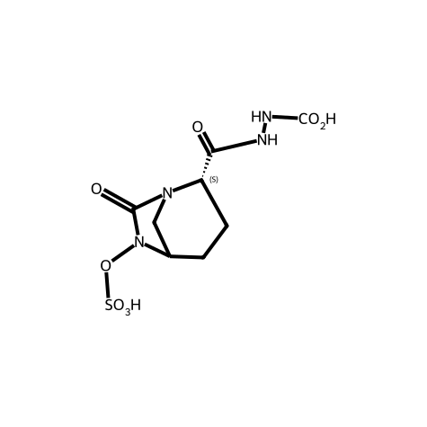 O=C(O)NNC(=O)[C@@H]1CCC2CN1C(=O)N2OS(=O)(=O)O